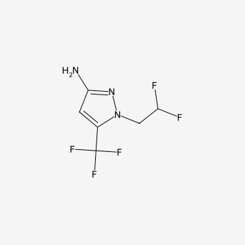 Nc1cc(C(F)(F)F)n(CC(F)F)n1